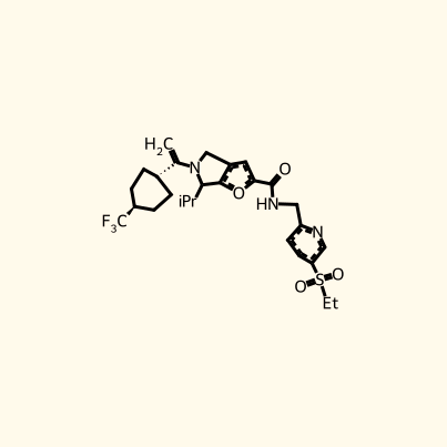 C=C([C@H]1CC[C@H](C(F)(F)F)CC1)N1Cc2cc(C(=O)NCc3ccc(S(=O)(=O)CC)cn3)oc2C1C(C)C